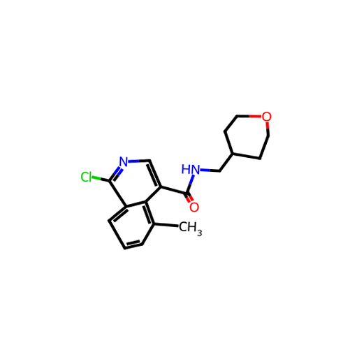 Cc1cccc2c(Cl)ncc(C(=O)NCC3CCOCC3)c12